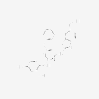 CCc1ccc2nc(Nc3cc(Cc4ccccc4)nc(Nc4ccc(S)cc4C)n3)sc2c1